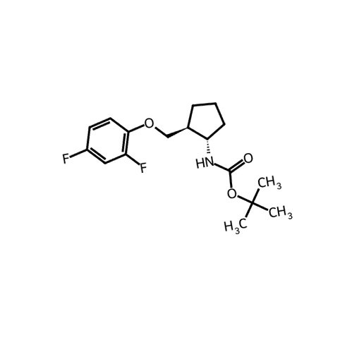 CC(C)(C)OC(=O)N[C@H]1CCC[C@@H]1COc1ccc(F)cc1F